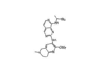 COc1nc2c(cc1Nc1ncc3ccnc(NC(C)C(C)(C)C)c3n1)CN(C)CC2